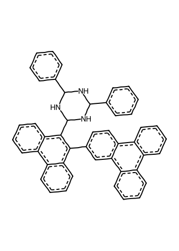 c1ccc(C2NC(c3ccccc3)NC(c3c(-c4ccc5c6ccccc6c6ccccc6c5c4)c4ccccc4c4ccccc34)N2)cc1